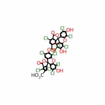 O=C(O)c1cc(Cl)c2c(c1Cl)C(=O)OC21c2cc(Cl)c(O)c(Cl)c2Oc2c1cc(Cl)c(OC(=O)c1cc(Cl)c3c(c1Cl)C1(OC3=O)c3cc(Cl)c(O)c(Cl)c3Oc3c1cc(Cl)c(O)c3Cl)c2Cl